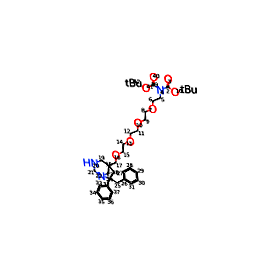 CC(C)(C)OC(=O)N(CCOCCOCCOCCOCC12CNCN(C1)C(Cc1ccccc1)(c1ccccc1)C2)C(=O)OC(C)(C)C